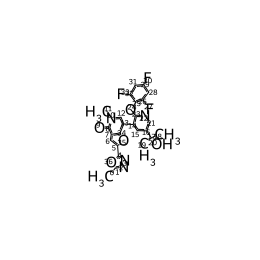 Cc1nnc(-c2cc3c(=O)n(C)cc(-c4cc(C(C)(C)O)cnc4Oc4c(F)cc(F)cc4F)c3o2)o1